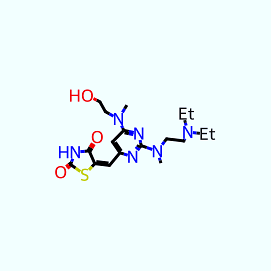 CCN(CC)CCN(C)c1nc(C=C2SC(=O)NC2=O)cc(N(C)CCO)n1